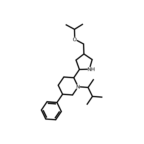 CC(C)OCC1CNC(C2CCC(c3ccccc3)CN2C(C)C(C)C)C1